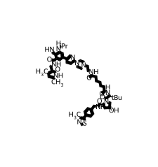 Cc1cc(C)c(CNC(=O)c2cc(-c3ccc(N4CCN(CCNC(=O)CCCCCC(=O)N[C@H](C(=O)N5C[C@H](O)C[C@H]5C(=O)NCc5ccc(-c6scnc6C)cc5)C(C)(C)C)CC4)nc3)cc(NC(C)C)c2C=N)c(=O)[nH]1